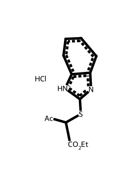 CCOC(=O)C(Sc1nc2ccccc2[nH]1)C(C)=O.Cl